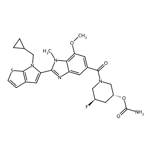 COc1cc(C(=O)N2C[C@H](F)C[C@@H](OC(N)=O)C2)cc2nc(-c3cc4ccsc4n3CC3CC3)n(C)c12